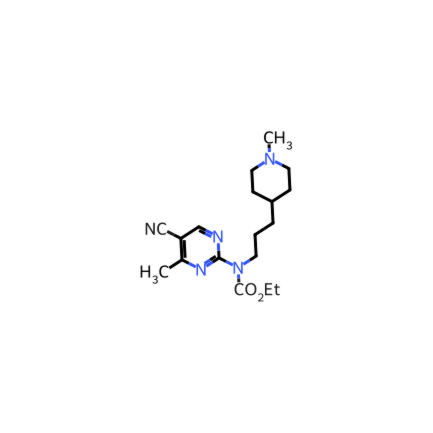 CCOC(=O)N(CCCC1CCN(C)CC1)c1ncc(C#N)c(C)n1